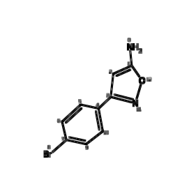 Nc1cc(-c2ccc(Br)cc2)no1